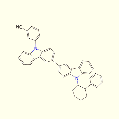 N#Cc1cccc(-n2c3ccccc3c3cc(-c4ccc5c(c4)c4ccccc4n5C4CCCCC4c4ccccc4)ccc32)c1